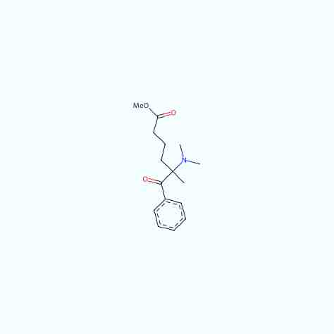 COC(=O)CCCC(C)(C(=O)c1ccccc1)N(C)C